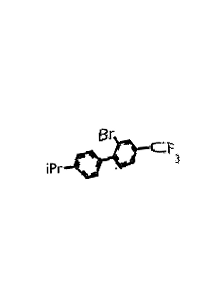 CC(C)c1ccc(-c2[c]cc(C(F)(F)F)cc2Br)cc1